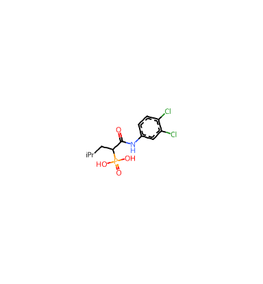 CC(C)CC(C(=O)Nc1ccc(Cl)c(Cl)c1)P(=O)(O)O